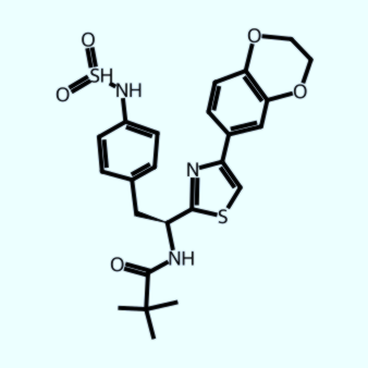 CC(C)(C)C(=O)N[C@@H](Cc1ccc(N[SH](=O)=O)cc1)c1nc(-c2ccc3c(c2)OCCO3)cs1